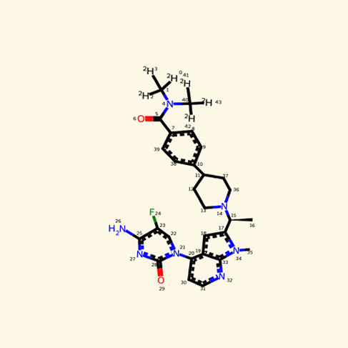 [2H]C([2H])([2H])N(C(=O)c1ccc(C2CCN([C@@H](C)c3cc4c(-n5cc(F)c(N)nc5=O)ccnc4n3C)CC2)cc1)C([2H])([2H])[2H]